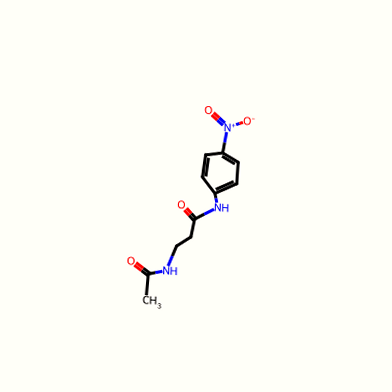 CC(=O)NCCC(=O)Nc1ccc([N+](=O)[O-])cc1